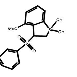 COc1cccc2c1C(S(=O)(=O)c1ccccc1)CS2(O)O